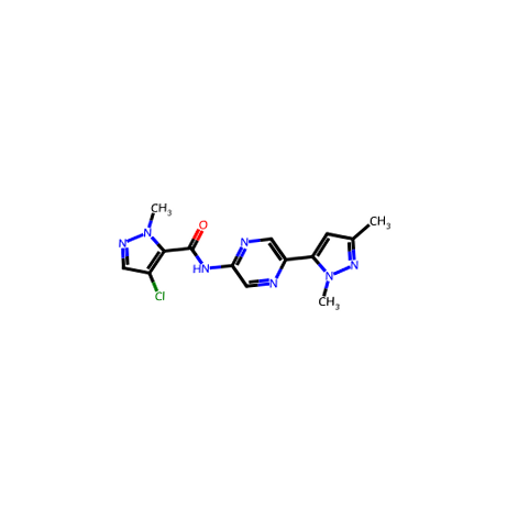 Cc1cc(-c2cnc(NC(=O)c3c(Cl)cnn3C)cn2)n(C)n1